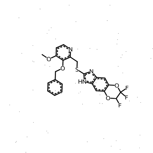 COc1ccnc(CSc2nc3cc4c(cc3[nH]2)OC(F)C(F)(F)O4)c1OCc1ccccc1